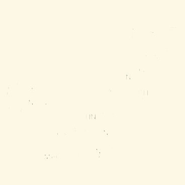 COc1cc2ncnc(Nc3ccc(C(C)=NOCc4ccc(F)cc4Cl)cc3)c2cc1OCCCN1CCOCC1